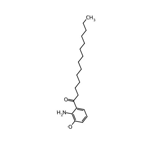 CCCCCCCCCCCCCC(=O)c1cccc([O])c1N